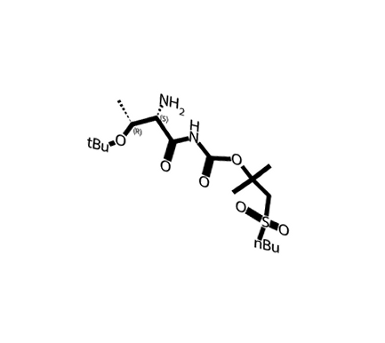 CCCCS(=O)(=O)CC(C)(C)OC(=O)NC(=O)[C@@H](N)[C@@H](C)OC(C)(C)C